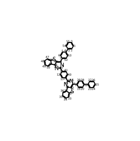 c1ccc(-c2ccc(-c3nc(-c4ccc(-c5nc(-c6ccc(-c7ccccc7)cc6)c6sc7ccccc7c6n5)cc4)nc4c3sc3ccccc34)cc2)cc1